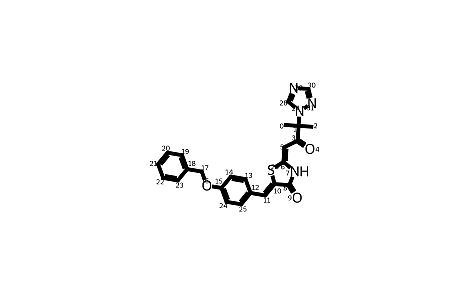 CC(C)(C(=O)/C=c1\[nH]c(=O)/c(=C/c2ccc(OCc3ccccc3)cc2)s1)n1cncn1